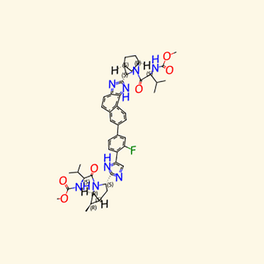 COC(=O)N[C@H](C(=O)N1[C@@H]2CC[C@@H](C2)[C@H]1c1nc2ccc3cc(-c4ccc(-c5cnc([C@@H]6C[C@H]7[C@@H](C)[C@H]7N6C(=O)[C@@H](NC(=O)OC)C(C)C)[nH]5)c(F)c4)ccc3c2[nH]1)C(C)C